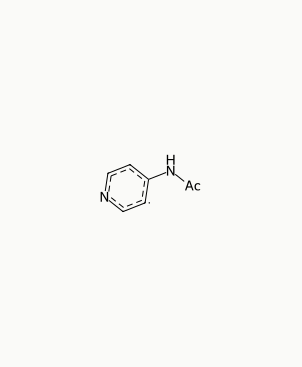 CC(=O)Nc1[c]cncc1